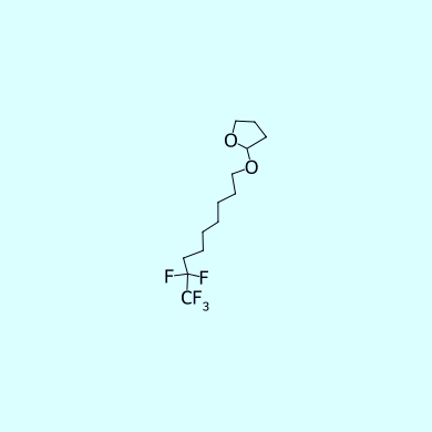 FC(F)(F)C(F)(F)CCCCCCCOC1CCCO1